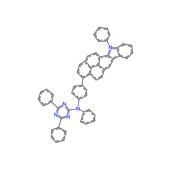 c1ccc(-c2nc(-c3ccccc3)nc(N(c3ccccc3)c3ccc(-c4ccc5ccc6c7c(ccc4c57)cc4c5ccccc5n(-c5ccccc5)c46)cc3)n2)cc1